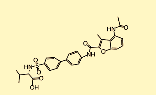 CC(=O)Nc1cccc2oc(C(=O)Nc3ccc(-c4ccc(S(=O)(=O)N[C@H](C(=O)O)C(C)C)cc4)cc3)c(C)c12